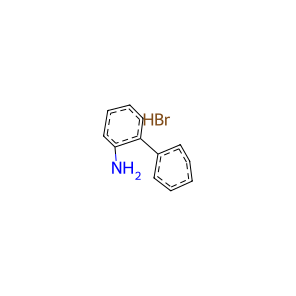 Br.Nc1ccccc1-c1ccccc1